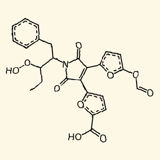 CCC(OO)C(Cc1ccccc1)N1C(=O)C(c2ccc(OC=O)o2)=C(c2ccc(C(=O)O)o2)C1=O